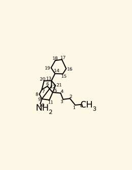 CCCCCC12CC3CC(N)(C1)CC(C1CCCCC1)(C3)C2